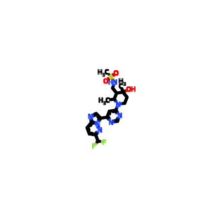 CC1C(CNS(C)(=O)=O)C(C)(O)CCN1c1cc(-c2cnc3ccc(C(F)F)nn23)ncn1